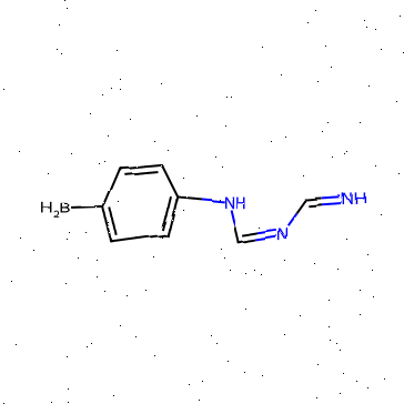 Bc1ccc(N/C=N\C=N)cc1